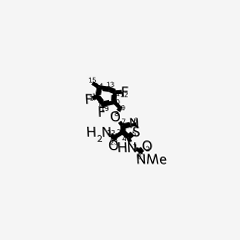 CNC(=O)Nc1snc(OCc2c(F)cc(C)c(F)c2F)c1C(N)=O